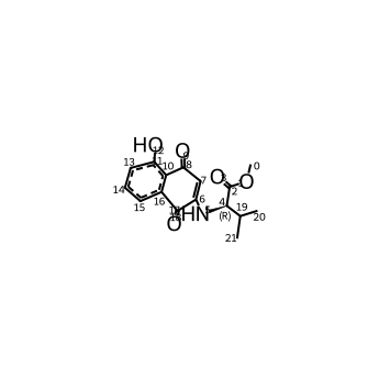 COC(=O)[C@H](NC1=CC(=O)c2c(O)cccc2C1=O)C(C)C